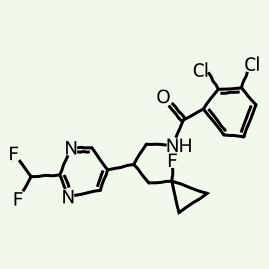 O=C(NCC(CC1(F)CC1)c1cnc(C(F)F)nc1)c1cccc(Cl)c1Cl